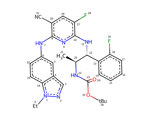 CCn1ncc2cc(Nc3nc(N[C@H](c4ccccc4F)[C@H](C)NC(=O)OC(C)(C)C)c(F)cc3C#N)ccc21